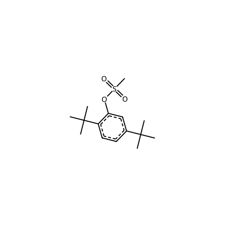 CC(C)(C)c1ccc(C(C)(C)C)c(OS(C)(=O)=O)c1